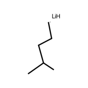 [CH2]CCC(C)C.[LiH]